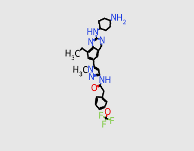 CCc1cc(-c2cc(NC(=O)Cc3cccc(OC(F)(F)F)c3)nn2C)cc2cnc(NC3CCC(N)CC3)nc12